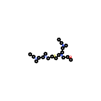 c1ccc(-c2ccc(-n3c4ccccc4c4cc(-c5ccc6c(c5)c5ccccc5n6-c5cccc(-c6ccc7sc8c(-c9ccc%10c%11cc(-c%12ccc%13c(c%12)c%12ccccc%12n%13-c%12ccc(-c%13ccccc%13)cc%12)ccc%11n(-c%11cccc(-c%12ccc%13oc%14ccccc%14c%13c%12)c%11)c%10c9)cccc8c7c6)c5)ccc43)cc2)cc1